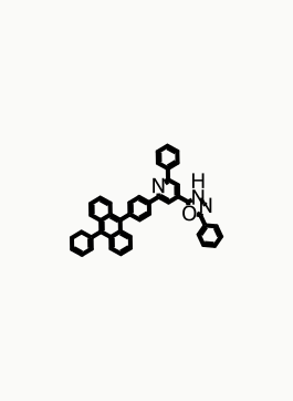 C1=CCCC(c2c3ccccc3c(-c3ccc(-c4cc(C5NN=C(c6ccccc6)O5)cc(-c5ccccc5)n4)cc3)c3ccccc23)=C1